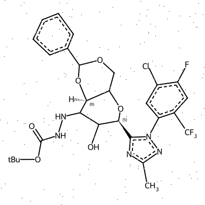 Cc1nc([C@@H]2OC3COC(c4ccccc4)O[C@@H]3C(NNC(=O)OC(C)(C)C)C2O)n(-c2cc(Cl)c(F)cc2C(F)(F)F)n1